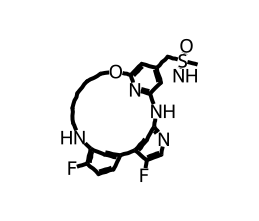 CS(=N)(=O)Cc1cc2nc(c1)OCCCCCNc1cc(ccc1F)-c1cc(ncc1F)N2